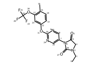 CCN1CC(=O)N(c2cnc(Oc3ccc(C)c(OC(F)(F)F)c3)nc2)C1=O